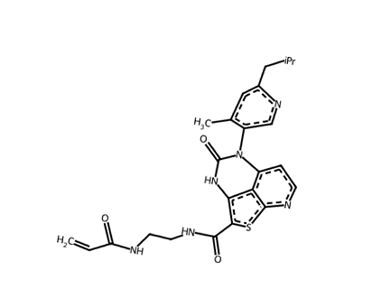 C=CC(=O)NCCNC(=O)c1sc2nccc3c2c1NC(=O)N3c1cnc(CC(C)C)cc1C